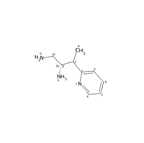 CC(c1ccccn1)[C@H](N)CN